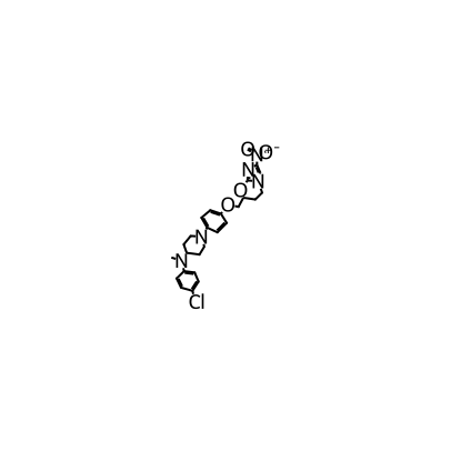 CN(c1ccc(Cl)cc1)C1CCN(c2ccc(OCC3CCn4cc([N+](=O)[O-])nc4O3)cc2)CC1